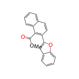 COC(=O)c1c(-c2cc3ccccc3o2)ccc2ccccc12